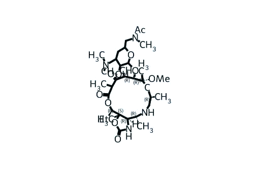 CC[C@H]1OC(=O)C(C)C(=O)[C@H](C)[C@@H](OC2OC(CN(C)C(C)=O)CC(N(C)C)C2O)[C@](C)(OC)C[C@@H](C)CN[C@H](C)[C@H]2NC(=O)O[C@@]21C